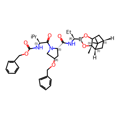 CC[C@H](NC(=O)[C@@H]1C[C@@H](OCc2ccccc2)CN1C(=O)[C@@H](NC(=O)OCc1ccccc1)C(C)C)B1OC2C[C@@H]3C[C@@H](C3(C)C)[C@]2(C)O1